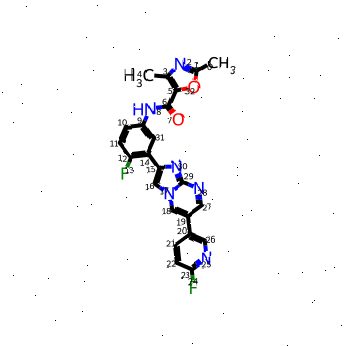 Cc1nc(C)c(C(=O)Nc2ccc(F)c(-c3cn4cc(-c5ccc(F)nc5)cnc4n3)c2)o1